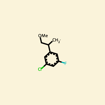 [CH2]C(COC)c1cc(F)cc(Cl)c1